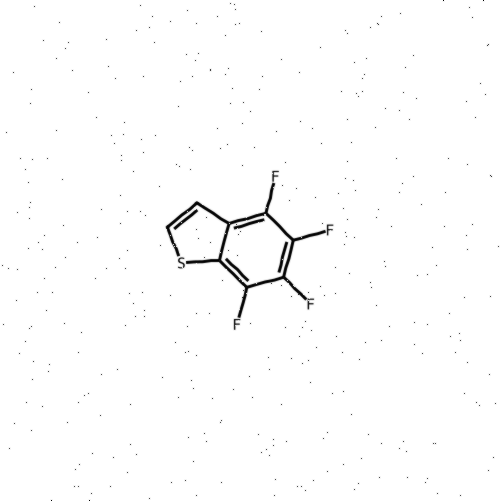 Fc1c(F)c(F)c2sccc2c1F